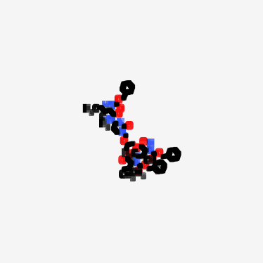 CC[C@H](C)[C@H](NC(=O)OCc1ccccc1)C(=O)Nc1ccn(COC(COC(=O)[C@@H](NC(=O)OCc2ccccc2)[C@@H](C)CC)COC(=O)[C@@H](NC(=O)OCc2ccccc2)[C@@H](C)CC)c(=O)n1